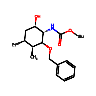 CC[C@H]1C[C@H](O)[C@H](NC(=O)OC(C)(C)C)[C@@H](OCc2ccccc2)[C@@H]1C